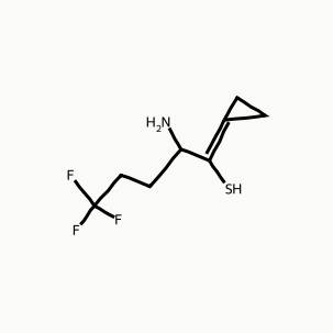 NC(CCC(F)(F)F)C(S)=C1CC1